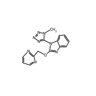 Cn1nnnc1-n1c(OCc2ncccn2)nc2ccccc21